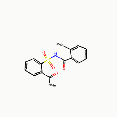 CNC(=O)c1ccccc1S(=O)(=O)NC(=O)c1ccccc1OC